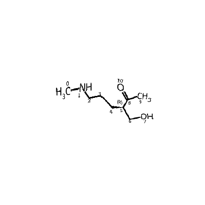 CNCCC[C@H](CO)C(C)=O